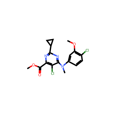 COC(=O)c1nc(C2CC2)nc(N(C)c2ccc(Cl)c(OC)c2)c1Cl